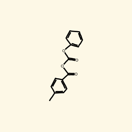 Cc1ccc(C(=O)OC(=O)Oc2ccccc2)cc1